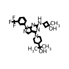 CC(C)(O)C1CCN(c2nc(N[C@H]3C[C@](C)(O)C3)nc3c2cnn3-c2cccc(C(F)(F)F)c2)CC1